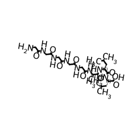 CC(C)C[C@H](NC(=O)[C@H](CC(C)C)NC(=O)[C@H](C)NC(=O)CNC(=O)CNC(=O)CNC(=O)CNC(=O)CN)C(=O)O